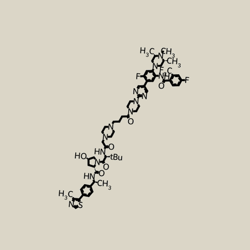 Cc1ncsc1-c1ccc([C@H](C)NC(=O)[C@@H]2C[C@@H](O)CN2C(=O)[C@@H](NC(=O)CN2CCN(CCCC(=O)N3CCN(c4ncc(-c5cc(NC(=O)c6ccc(F)cc6C(F)(F)F)c(N6C[C@@H](C)N(C)[C@@H](C)C6)cc5F)cn4)CC3)CC2)C(C)(C)C)cc1